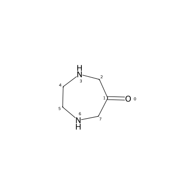 O=C1CNCCNC1